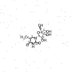 C#C[C@]1(CO)O[C@@H](n2cc(C)c(=O)[nH]c2=O)C(O)C1O